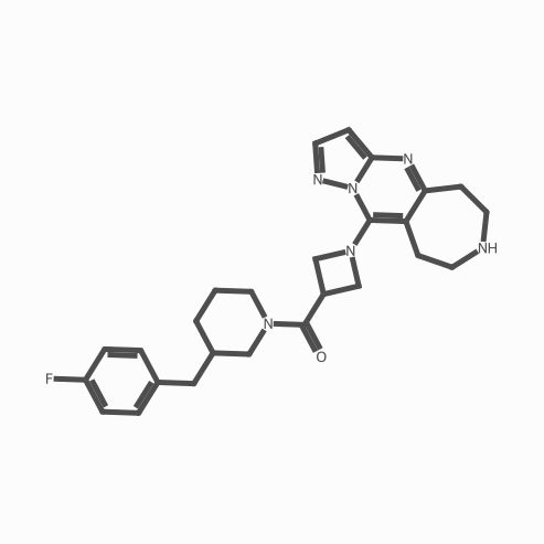 O=C(C1CN(c2c3c(nc4ccnn24)CCNCC3)C1)N1CCCC(Cc2ccc(F)cc2)C1